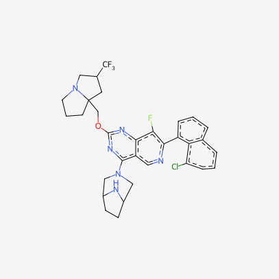 Fc1c(-c2cccc3cccc(Cl)c23)ncc2c(N3CC4CCC(C3)N4)nc(OCC34CCCN3CC(C(F)(F)F)C4)nc12